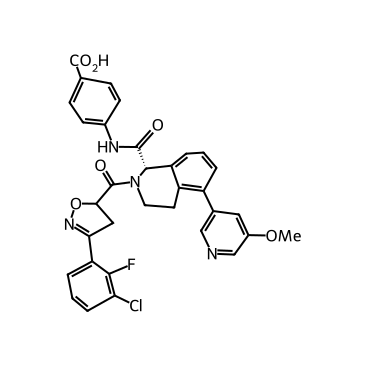 COc1cncc(-c2cccc3c2CCN(C(=O)C2CC(c4cccc(Cl)c4F)=NO2)[C@@H]3C(=O)Nc2ccc(C(=O)O)cc2)c1